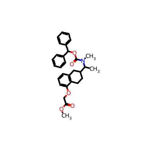 COC(=O)COc1cccc2c1CCC(C(C)N(C)C(=O)OC(c1ccccc1)c1ccccc1)C2